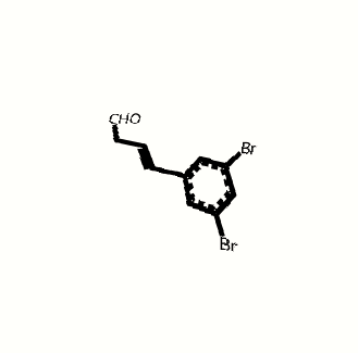 O=CCC=Cc1cc(Br)cc(Br)c1